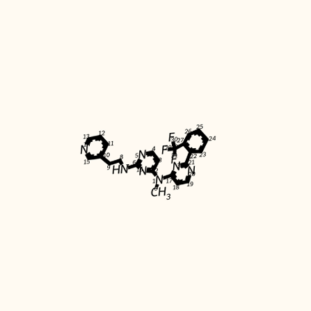 CN(c1ccnc(NCCc2cccnc2)n1)c1ccnc(-c2ccccc2C(F)(F)F)n1